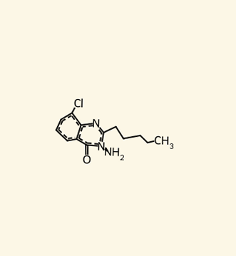 CCCCCc1nc2c(Cl)cccc2c(=O)n1N